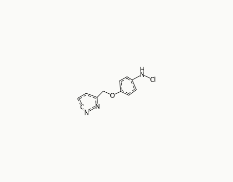 ClNc1ccc(OCc2cccnn2)cc1